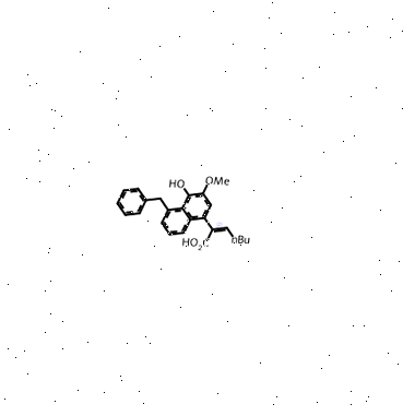 CCCC/C=C(\C(=O)O)c1cc(OC)c(O)c2c(Cc3ccccc3)cccc12